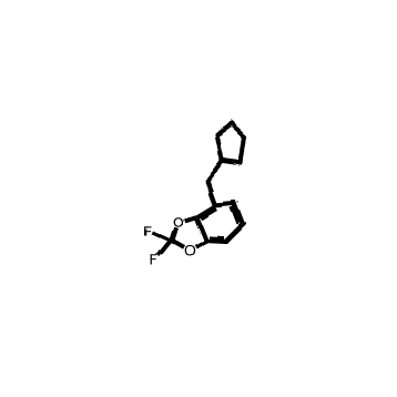 FC1(F)Oc2cc[c]c(CC3CCCC3)c2O1